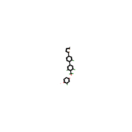 CCc1ccc(-c2ccc(-c3cc(F)c(C(F)(F)Oc4ccc(OC(F)(F)F)c(F)c4)c(F)c3)c(F)c2)s1